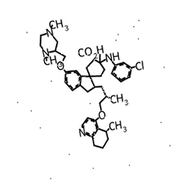 C[C@@H](COc1ccnc2c1[C@@H](C)CCC2)CC1Cc2ccc(OCC3CN(C)CCN3C)cc2C12CCC(Nc1cccc(Cl)c1)(C(=O)O)CC2